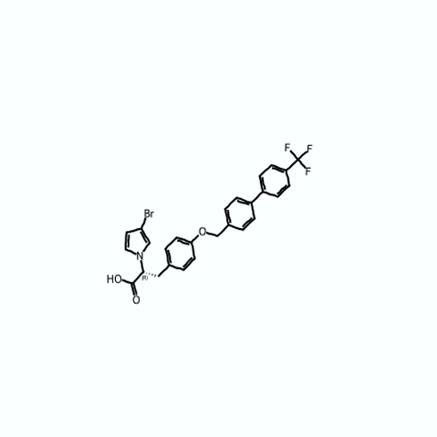 O=C(O)[C@@H](Cc1ccc(OCc2ccc(-c3ccc(C(F)(F)F)cc3)cc2)cc1)n1ccc(Br)c1